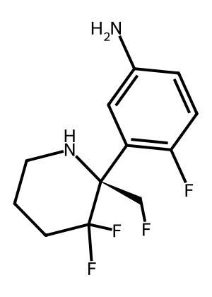 Nc1ccc(F)c([C@@]2(CF)NCCCC2(F)F)c1